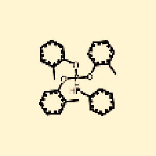 Cc1ccccc1O[PH](Oc1ccccc1C)(Oc1ccccc1C)Pc1ccccc1